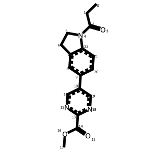 CCC(=O)N1CCc2cc(-c3cnc(C(=O)OC)nc3)ccc21